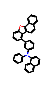 c1ccc(N(c2cccc(-c3cccc4oc5c6ccccc6ccc5c34)c2)c2cccc3ccccc23)cc1